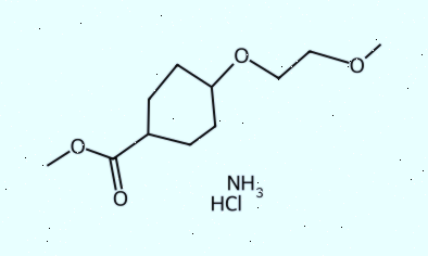 COCCOC1CCC(C(=O)OC)CC1.Cl.N